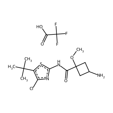 COC1(C(=O)Nc2nc(Cl)c(C(C)(C)C)s2)CC(N)C1.O=C(O)C(F)(F)F